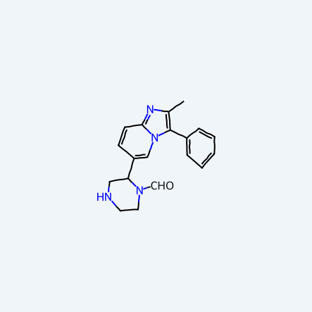 Cc1nc2ccc(C3CNCCN3C=O)cn2c1-c1ccccc1